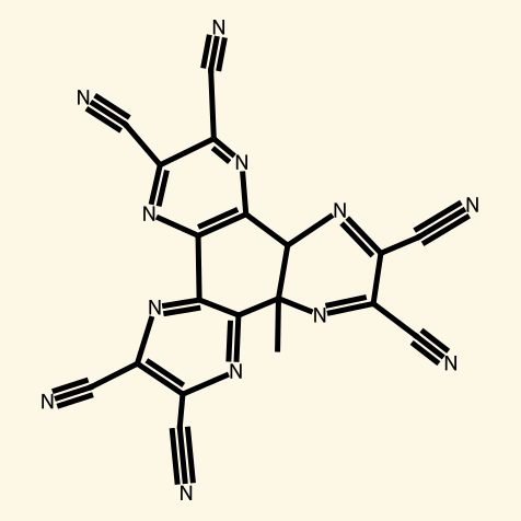 CC12N=C(C#N)C(C#N)=NC1c1nc(C#N)c(C#N)nc1-c1nc(C#N)c(C#N)nc12